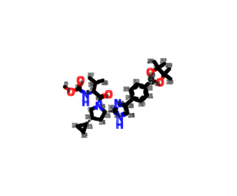 COC(=O)N[C@H](C(=O)N1C[C@@H](C2CC2)C[C@H]1c1nc(-c2ccc(B3OC(C)(C)C(C)(C)O3)cc2)c[nH]1)C(C)C